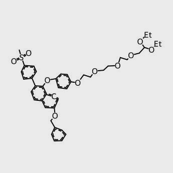 CCOC(COCCOCCOCCOc1ccc(Oc2c(-c3ccc(S(C)(=O)=O)cc3)ccc3cc(OCc4ccccc4)ccc23)cc1)OCC